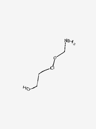 NCOOCCO